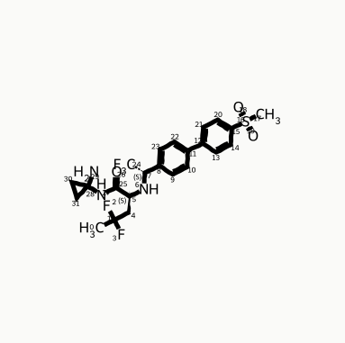 CC(F)(F)C[C@H](N[C@@H](c1ccc(-c2ccc(S(C)(=O)=O)cc2)cc1)C(F)(F)F)C(=O)NC1(N)CC1